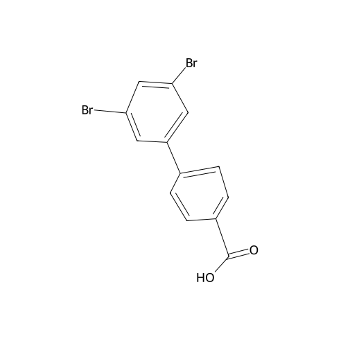 O=C(O)c1ccc(-c2cc(Br)cc(Br)c2)cc1